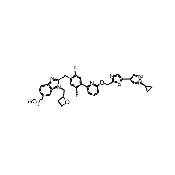 O=C(O)c1ccc2nc(Cc3cc(F)c(-c4cccc(OCc5ncc(-c6cnn(C7CC7)c6)s5)n4)cc3F)n(CC3CCO3)c2c1